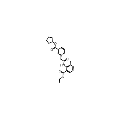 CCOC(=O)c1cccc(C)c1NC(=O)C[n+]1cccc(C(=O)OC2CCCC2)c1